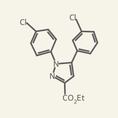 CCOC(=O)c1cc(-c2cccc(Cl)c2)n(-c2ccc(Cl)cc2)n1